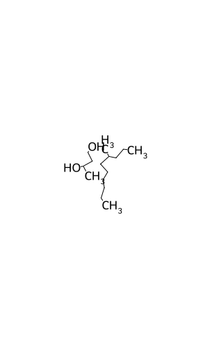 CC(O)CCO.CCCCCCC(C)CCC